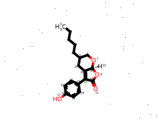 CCCCCC1CO[C@H]2OC(=O)C(c3ccc(O)cc3)=C2C1